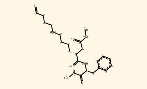 CNC(=O)[C@H](Cc1ccccc1)NC(=O)[C@H](CCCCNCCCC=O)CC(=O)NO